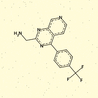 NCc1nc(-c2ccc(C(F)(F)F)cc2)c2ccncc2n1